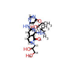 CC(CO)Oc1cc(Nc2cc3ccn(CC(O)CO)c(=O)c3c(NC(C)(C)C)n2)ncn1